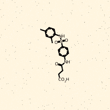 Cc1ccc(NS(=O)(=O)c2ccc(NC(=O)CCC(=O)O)cc2)c(C)c1